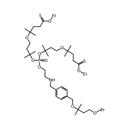 CCOC(=S)CCC(C)(C)OCCC(C)(C)OP(=O)(OCCNCc1ccc(COC(C)(C)CCOC(C)C)cc1)OC(C)(C)CCOC(C)(C)CCC(=S)OCC